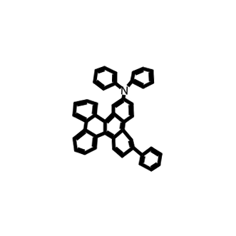 c1ccc(-c2ccc3c(c2)c2ccc(N(c4ccccc4)c4ccccc4)cc2c2c4ccccc4c4ccccc4c32)cc1